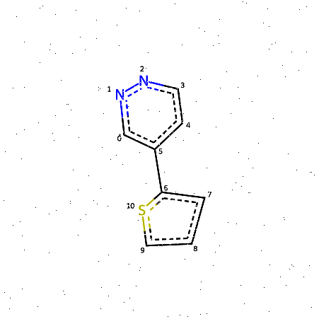 [c]1nnccc1-c1cccs1